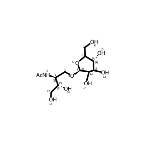 CC(=O)N[C@@H](CO[C@H]1OC(CO)[C@H](O)C(O)C1O)[C@H](O)CO